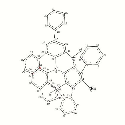 CC(C)(C)c1c2c(c3c4c1-c1ccccc1C4(C)c1cc(-c4ccccc4)cc(-c4ccccc4)c1N3c1cccc3ccccc13)C(C)(C)c1ccccc1-2